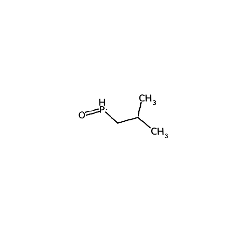 CC(C)C[PH]=O